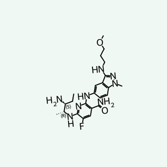 CC[C@H](N)[C@@H](C)Nc1nc(Nc2ccc3c(c2)c(NCCCOC)nn3C)c(C(N)=O)cc1F